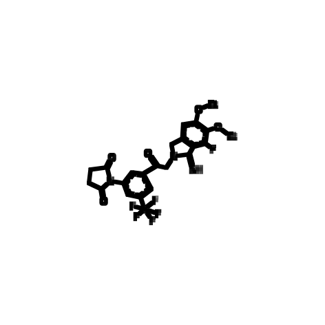 CCOc1cc2c(c(F)c1OCC)C(=N)N(CC(=O)c1cc(N3C(=O)CCC3=O)cc(S(F)(F)(F)(F)F)c1)C2